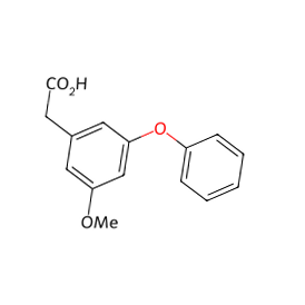 COc1cc(CC(=O)O)cc(Oc2ccccc2)c1